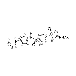 CC(=O)N[C@H]1OC(=O)N(c2ccc(C(=O)Nc3ccc(N4CCOCC4)cc3)c(F)c2)C1C